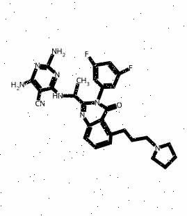 CC(Nc1nc(N)nc(N)c1C#N)c1nc2cccc(CCCN3CCCC3)c2c(=O)n1-c1cc(F)cc(F)c1